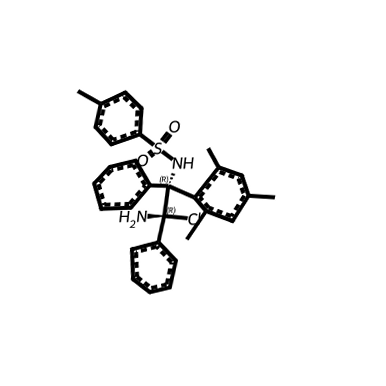 Cc1ccc(S(=O)(=O)N[C@](c2ccccc2)(c2c(C)cc(C)cc2C)[C@](N)(Cl)c2ccccc2)cc1